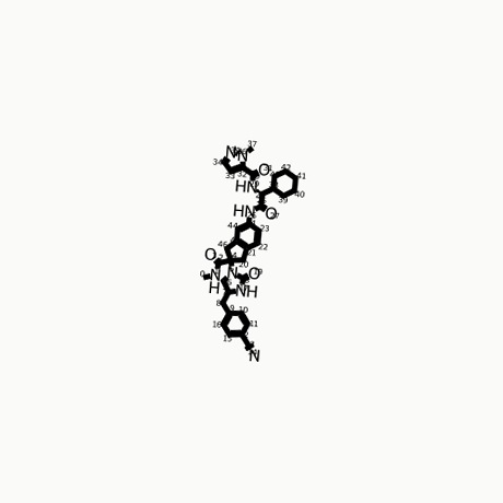 CNC(=O)C1(N2CC(Cc3ccc(C#N)cc3)NC2=O)Cc2ccc(NC(=O)[C@@H](NC(=O)c3ccnn3C)C3CCCCC3)cc2C1